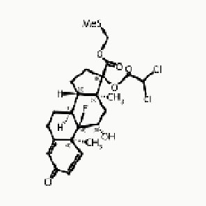 CSCOC(=O)[C@@]1(OC(=O)C(Cl)Cl)CC[C@H]2[C@@H]3CCC4=CC(=O)C=C[C@]4(C)[C@@]3(F)[C@@H](O)C[C@@]21C